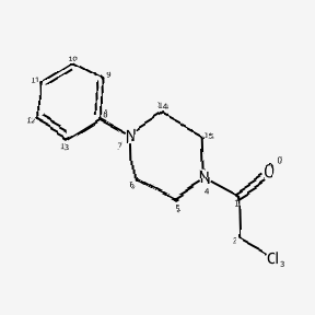 O=C(CCl)N1CCN(c2ccccc2)CC1